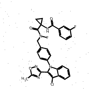 Cc1nc(-c2c(Cl)c3ccccc3n2-c2ccc(CN(F)C(=O)C3(NC(=O)c4cccc(F)c4)CC3)cc2)no1